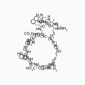 CC(=O)N[C@@H](Cc1cccc2ccccc12)C(=O)N[C@H](C)C(=O)N[C@H]1CSCCC(=O)N2CC34CN(CC3(CN(C(=O)CCSC[C@H](NC(=O)[C@H](C)N)C(=O)N[C@H](C)C(=O)N[C@@H](CC(N)=O)C(N)=O)C4)C2)C(=O)CCSC[C@@H](C(N)=O)NC(=O)[C@H](C(C)(C)C)NC(=O)C(CC(=O)O)NC(=O)[C@H](Cc2ccc(O)cc2)NC(=O)[C@H](Cc2ccccc2)NC(=O)[C@H](CC(=O)O)NC(=O)[C@H](CCC(=O)O)NC1=O